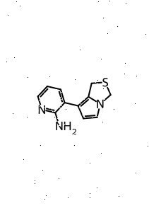 Nc1ncccc1-c1ccn2c1CSC2